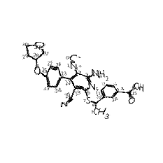 [C-]#[N+]c1c(N)nc(SC(C)c2cccc(C(=O)O)c2)c(C#N)c1-c1ccc(OC2CCOC2)cc1